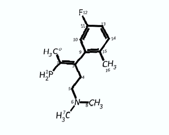 C/C(P)=C(/CCN(C)C)c1cc(F)ccc1C